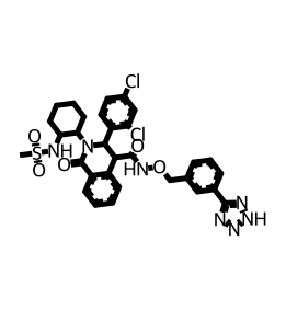 CS(=O)(=O)NC1CCCCC1N1C(=O)c2ccccc2C(C(=O)NOCc2cccc(-c3nn[nH]n3)c2)C1c1ccc(Cl)cc1Cl